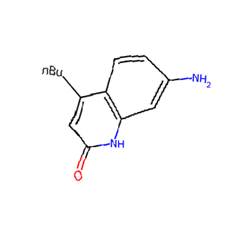 CCCCc1cc(=O)[nH]c2cc(N)ccc12